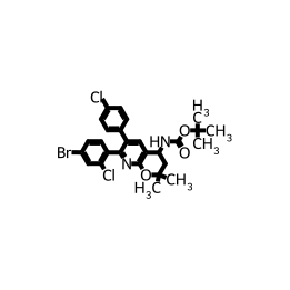 CC(C)(C)OC(=O)NC1CC(C)(C)Oc2nc(-c3ccc(Br)cc3Cl)c(-c3ccc(Cl)cc3)cc21